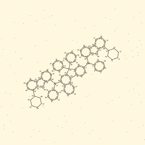 c1ccc(N(c2ccc3c(c2)C(c2ccccc2)(c2ccccc2)c2cc(N(c4ccccc4)c4cccc5c4oc4c(C6CCCCC6)cccc45)c4ccccc4c2-3)c2cccc3c2oc2c(C4CCCCC4)cccc23)cc1